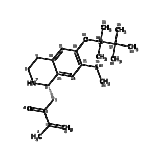 C=C(C)C(=O)C[C@@H]1NCCc2cc(O[Si](C)(C)C(C)(C)C)c(SC)cc21